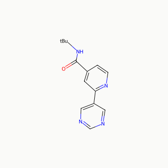 CC(C)(C)NC(=O)c1ccnc(-c2cncnc2)c1